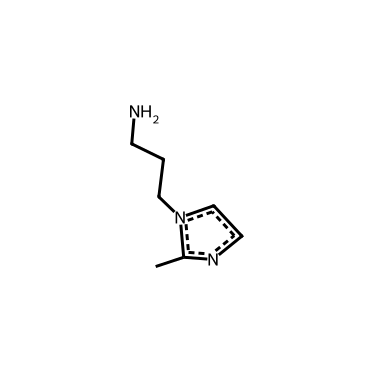 Cc1nccn1CCCN